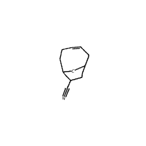 N#CC1CC2CC=CCCC1C2